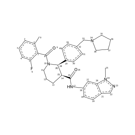 Cc1cccc(F)c1C(=O)N1CCC[C@H](C(=O)Nc2ccc3cnn(C)c3c2)[C@@H]1c1ccc(CN2CCCC2)cc1